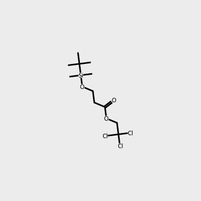 CC(C)(C)[Si](C)(C)OCCC(=O)OCC(Cl)(Cl)Cl